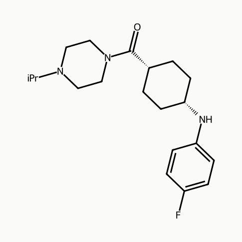 CC(C)N1CCN(C(=O)[C@H]2CC[C@@H](Nc3ccc(F)cc3)CC2)CC1